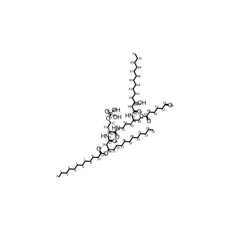 CCCCCCCCCCCC(=O)O[C@H](CCCCCCCCCCC)CC(=O)N[C@@H](CCOP(=O)(O)O)C(=O)NCCC[C@H](COC(=O)CCCCC=O)NC(=O)C[C@H](O)CCCCCCCCCCC